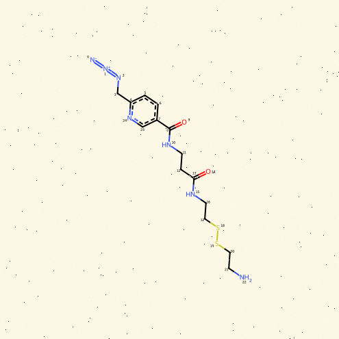 [N-]=[N+]=NCc1ccc(C(=O)NCCC(=O)NCCSSCCN)cn1